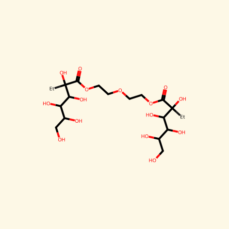 CCC(O)(C(=O)OCCOCCOC(=O)C(O)(CC)C(O)C(O)C(O)CO)C(O)C(O)C(O)CO